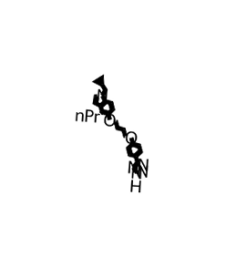 CCCc1c(OCCCCOc2ccc(-c3nn[nH]n3)cc2)ccc2c1ccn2CC1CC1